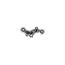 O=C(Nc1ccccc1C1(O)CCN(C(=O)OCc2ccccc2)CC1)OCc1ccccc1